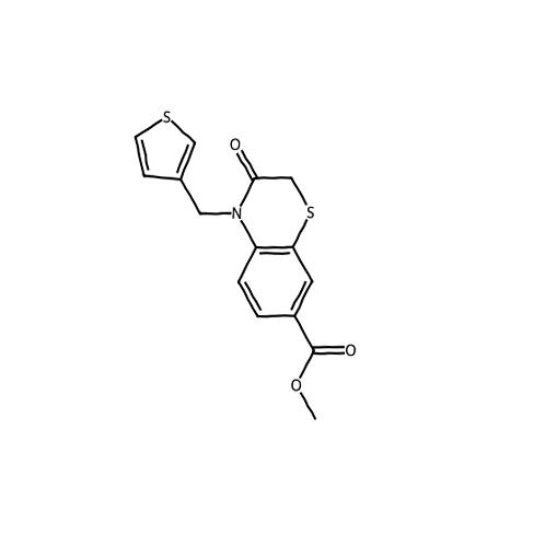 COC(=O)c1ccc2c(c1)SCC(=O)N2Cc1ccsc1